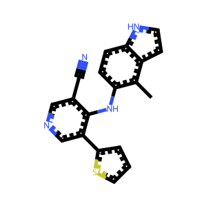 Cc1c(Nc2c(C#N)cncc2-c2cccs2)ccc2[nH]ccc12